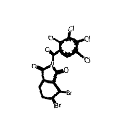 O=C(c1cc(Cl)c(Cl)c(Cl)c1Cl)N1C(=O)C2CCC(Br)C(Br)C2C1=O